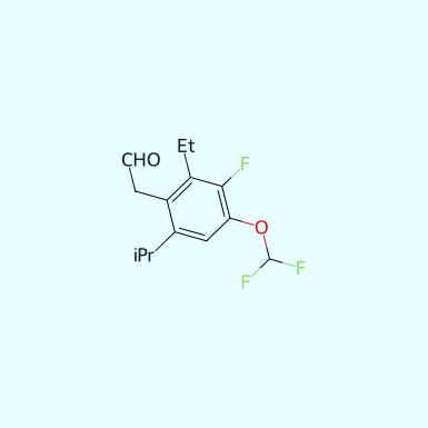 CCc1c(F)c(OC(F)F)cc(C(C)C)c1CC=O